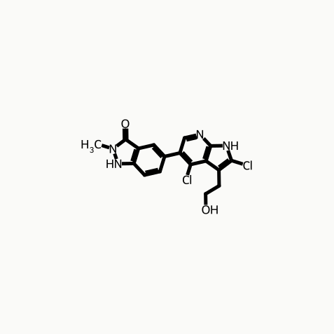 Cn1[nH]c2ccc(-c3cnc4[nH]c(Cl)c(CCO)c4c3Cl)cc2c1=O